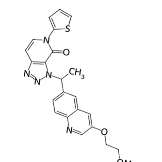 COCCOc1cnc2ccc(C(C)n3nnc4ccn(-c5cccs5)c(=O)c43)cc2c1